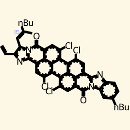 C=Cc1nc2c3cc(Cl)c4c5c(Cl)cc6c(=O)n7c8cc(CCCC)ccc8nc7c7cc(Cl)c(c8c(Cl)cc(c(=O)n2c1/C=C(\C)CCCC)c3c48)c5c67